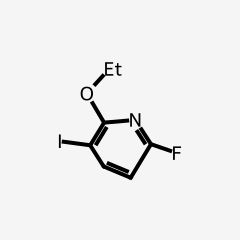 CCOc1nc(F)ccc1I